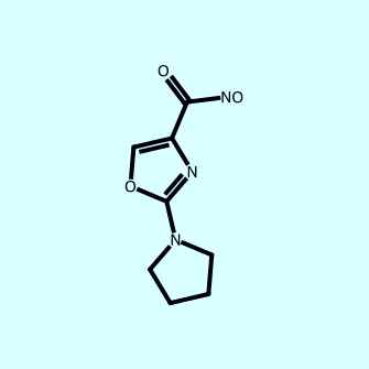 O=NC(=O)c1coc(N2CCCC2)n1